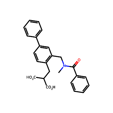 CN(Cc1cc(-c2ccccc2)ccc1CC(C(=O)O)C(=O)O)C(=O)c1ccccc1